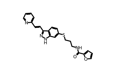 O=C(NCCCSc1ccc2c(/C=C/c3ccccn3)n[nH]c2c1)c1ccco1